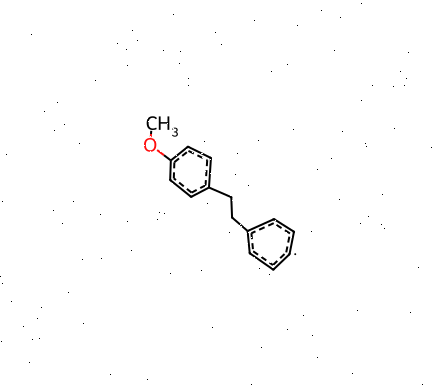 COc1ccc(CCc2cc[c]cc2)cc1